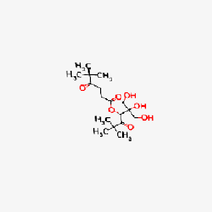 CC(C)(C)C(=O)CCC(=O)OC(C(=O)C(C)(C)C)C(O)(CO)CO